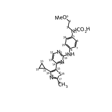 COCCN(C(=O)O)c1ccc(Nc2nccc(-c3sc(C)nc3C3CC3)n2)cc1